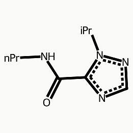 CCCNC(=O)c1ncnn1C(C)C